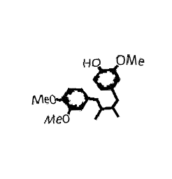 COc1cc(CC(C)C(C)Cc2ccc(OC)c(OC)c2)ccc1O